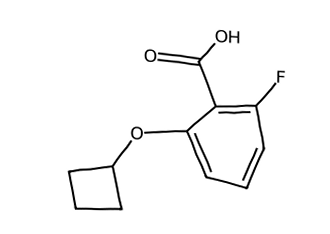 O=C(O)c1c(F)cccc1OC1CCC1